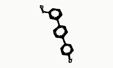 CCSc1cccc(-c2ccc(-c3ccc(Cl)cc3)cc2)c1